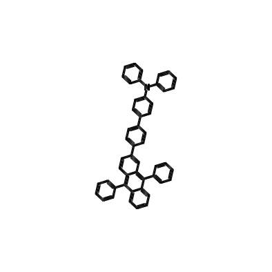 c1ccc(-c2c3ccccc3c(-c3ccccc3)c3cc(-c4ccc(-c5ccc(N(c6ccccc6)c6ccccc6)cc5)cc4)ccc23)cc1